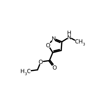 CCOC(=O)c1cc(NC)no1